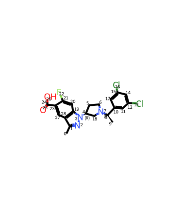 Cc1nn([C@@H]2CCN([C@H](C)c3cc(Cl)cc(Cl)c3)C2)c2cc(F)c(C(=O)O)cc12